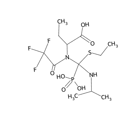 CCSC(NC(C)C)(N(C(=O)C(F)(F)F)C(CC)C(=O)O)P(=O)(O)O